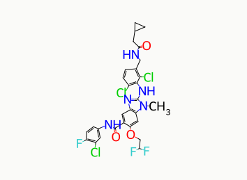 Cn1c(Nc2c(Cl)ccc(CNC(=O)CC3CC3)c2Cl)nc2cc(C(=O)Nc3ccc(F)c(Cl)c3)c(OCC(F)F)cc21